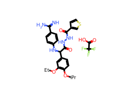 CCOc1cc(C(Nc2ccc(C(=N)N)cc2)C(=O)NNC(=O)c2ccsc2)ccc1OC(C)C.O=C(O)C(F)(F)F